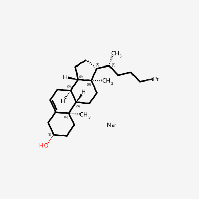 CC(C)CCC[C@@H](C)[C@H]1CC[C@H]2[C@@H]3CC=C4C[C@@H](O)CC[C@]4(C)[C@H]3CC[C@]12C.[Na]